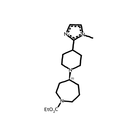 CCOC(=O)N1CCC[C@H](N2CCC(c3nccn3C)CC2)CC1